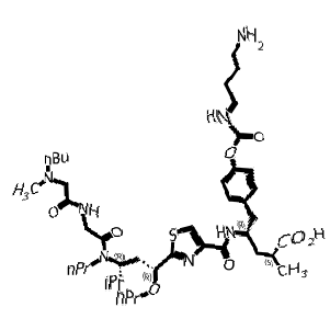 CCCCN(C)CC(=O)NCC(=O)N(CCC)[C@H](C[C@@H](OCCC)c1nc(C(=O)N[C@@H](Cc2ccc(OC(=O)NCCCCN)cc2)C[C@H](C)C(=O)O)cs1)C(C)C